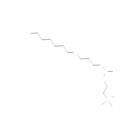 CCCCCCCCCCCCCCCCOCCCOP(O)OCC[N+](C)(C)C